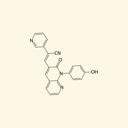 N#CC(=Cc1cc2cccnc2n(-c2ccc(O)cc2)c1=O)c1cccnc1